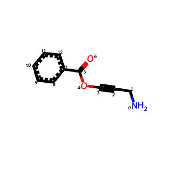 NCC#COC(=O)c1ccccc1